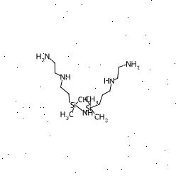 C[Si](C)(CCCNCCN)N[Si](C)(C)CCCNCCN